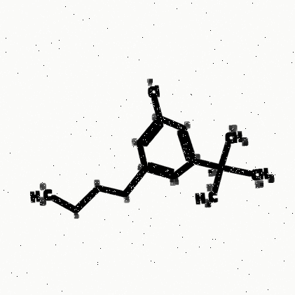 CCCCc1cc(Cl)cc(C(C)(C)C)c1